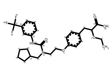 CCOC(Cc1ccc(OCCN(CC2CCCC2)C(=O)Nc2cccc(C(F)(F)F)c2)cc1)C(=O)O